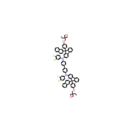 CCC1(COc2ccc(C3(c4ccc5ccccc5c4)c4ccccc4-c4ccc(N(c5ccc(-c6ccc(N(c7ccc(F)c(F)c7)c7ccc8c(c7)C(c7ccc(OCC9(CC)COC9)cc7)(c7ccc9ccccc9c7)c7ccccc7-8)cc6)cc5)c5ccc(F)c(F)c5)cc43)cc2)COC1